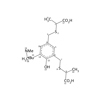 CC(SCc1cc(CSC(C)C(=O)O)c(O)c(C(C)(C)C)c1)C(=O)O.CNC